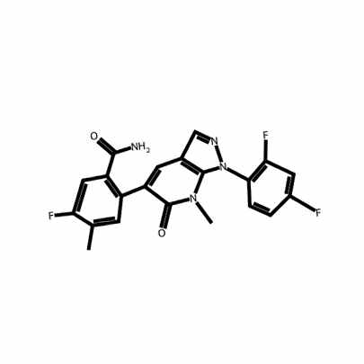 Cc1cc(-c2cc3cnn(-c4ccc(F)cc4F)c3n(C)c2=O)c(C(N)=O)cc1F